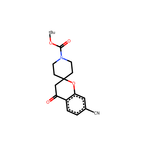 CC(C)(C)OC(=O)N1CCC2(CC1)CC(=O)c1ccc(C#N)cc1O2